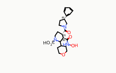 O=C(NO)[C@H]1C(C2CCOCC2)N(C(=O)O)CC[C@@H]1C(=O)N1CC[C@H](c2ccccc2)C1